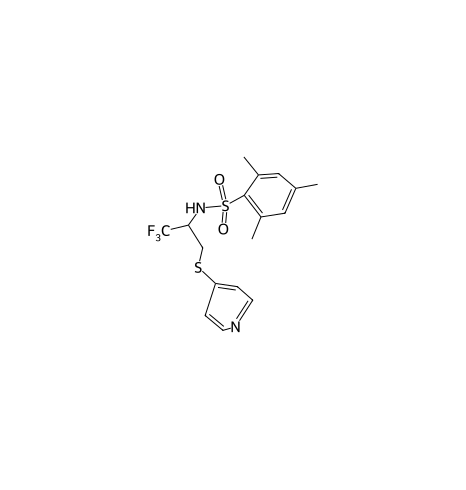 Cc1cc(C)c(S(=O)(=O)NC(CSc2ccncc2)C(F)(F)F)c(C)c1